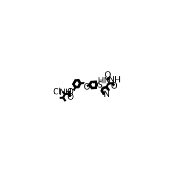 CC(C)C(NCl)C(=O)OCc1cccc(COc2ccc(Sc3ccncc3C3NC(=O)NC3=O)cc2)c1